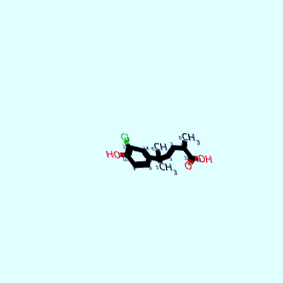 CC(CCC(C)(C)c1ccc(O)c(Cl)c1)C(=O)O